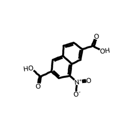 O=C(O)c1cc([N+](=O)[O-])c2cc(C(=O)O)ccc2c1